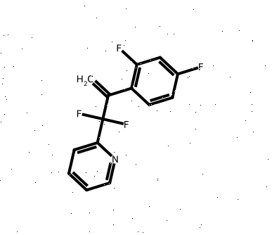 C=C(c1ccc(F)cc1F)C(F)(F)c1ccccn1